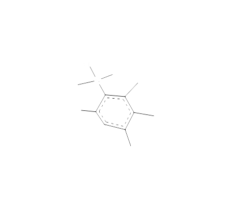 Cc1cc(C)c([Si](C)(C)Cl)c(C)c1C